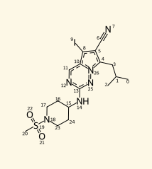 CC(C)Cc1c(C#N)c(I)c2cnc(NC3CCN(S(C)(=O)=O)CC3)nn12